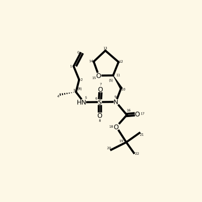 C=CC[C@@H](C)NS(=O)(=O)N(C[C@@H]1CCCO1)C(=O)OC(C)(C)C